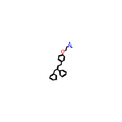 CN(C)CCOc1ccc(CC=C(Cc2ccccc2)c2ccccc2)cc1